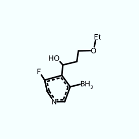 Bc1cncc(F)c1C(O)CCOCC